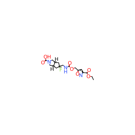 CCOC(=O)c1cc(COC(=O)NC[C@]2(F)C[C@H]3CN(C(=O)O)C[C@H]3C2)on1